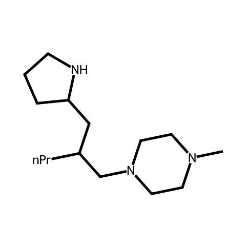 CCCC(CC1CCCN1)CN1CCN(C)CC1